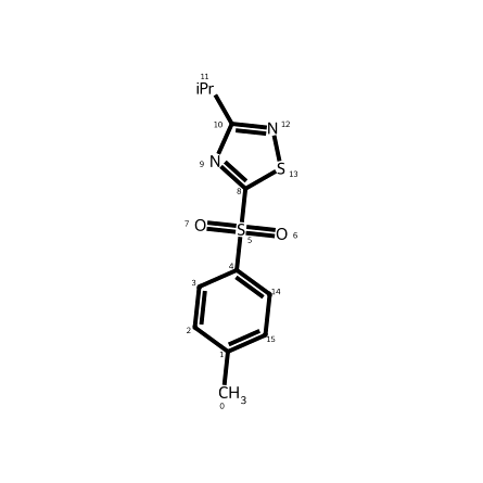 Cc1ccc(S(=O)(=O)c2nc(C(C)C)ns2)cc1